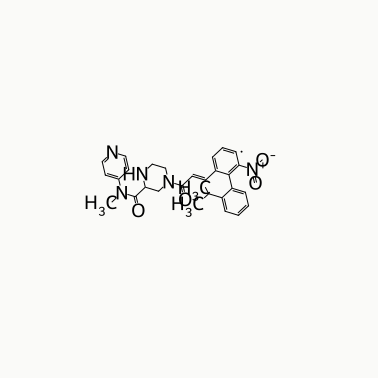 CC(C)c1ccccc1-c1c([N+](=O)[O-])[c]ccc1/C=C/C(=O)N1CCNC(C(=O)N(C)c2ccncc2)C1